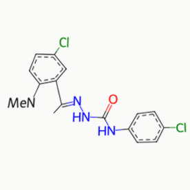 CNc1ccc(Cl)cc1/C(C)=N/NC(=O)Nc1ccc(Cl)cc1